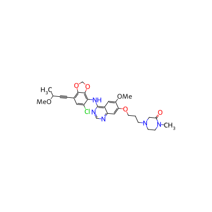 COc1cc2c(Nc3c(Cl)cc(C#CC(C)OC)c4c3OCO4)ncnc2cc1OCCCN1CCN(C)C(=O)C1